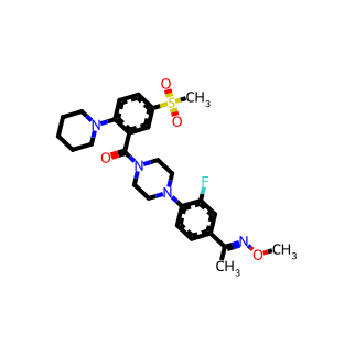 CON=C(C)c1ccc(N2CCN(C(=O)c3cc(S(C)(=O)=O)ccc3N3CCCCC3)CC2)c(F)c1